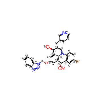 O=c1c(Cc2cccnc2)cn2c3c(cc(OCn4nnc5ccccc54)cc13)C(O)c1cc(Br)ccc1-2